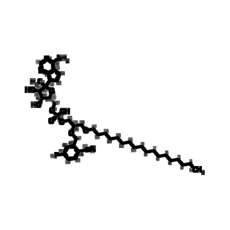 CCCCCCCCCCCCCCCCCCOC[C@H](COP(=O)(O)OC[C@H]1O[C@@](C)(c2ccc3c(N)ncnn23)[C@H](O)[C@@H]1O)OCc1cc(F)ccc1C#N